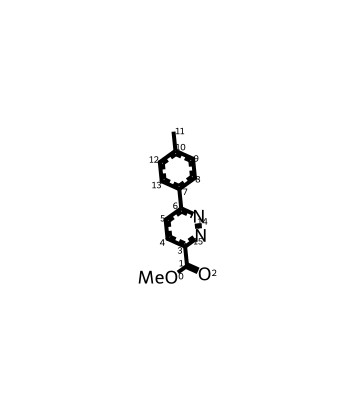 COC(=O)c1ccc(-c2ccc(C)cc2)nn1